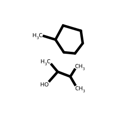 CC(C)C(C)O.CC1CCCCC1